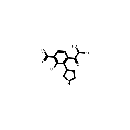 Cc1c(C(N)=O)ccc(C(=O)C(C)O)c1C1CCNC1